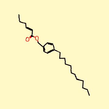 CCCC=CC(=O)OCc1ccc(CCCCCCCCCCCC)cc1